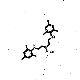 Cc1cc(C)c(NCCN(C)CCNc2c(C)cc(C)cc2C)c(C)c1.[Co]